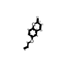 C=CCOc1ccc2c(c1)C=CC(=C)O2